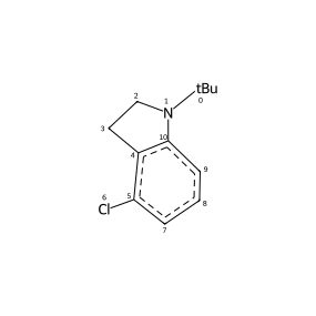 CC(C)(C)N1CCc2c(Cl)cccc21